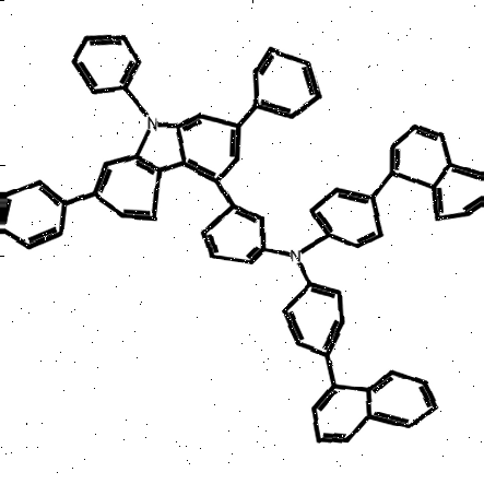 c1ccc(-c2ccc3c4c(-c5cccc(N(c6ccc(-c7cccc8ccccc78)cc6)c6ccc(-c7cccc8ccccc78)cc6)c5)cc(-c5ccccc5)cc4n(-c4ccccc4)c3c2)cc1